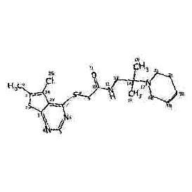 Cc1sc2ncnc(SCC(=O)NCC(C)(C)N3CCCCC3)c2c1Cl